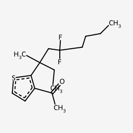 CCCCC(F)(F)CC(C)(CC)c1sccc1C(C)=O